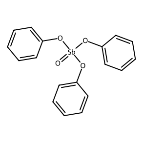 [O]=[Sb]([O]c1ccccc1)([O]c1ccccc1)[O]c1ccccc1